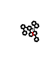 c1ccc(-c2ccc(N(c3ccc(-c4ccccc4-c4ccccc4)cc3-c3ccccc3)c3cccc4ccccc34)cc2)cc1